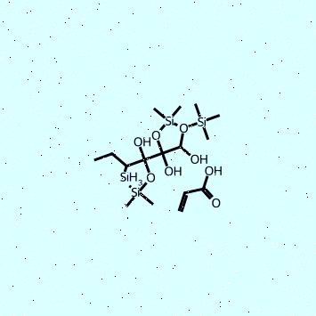 C=CC(=O)O.CCC([SiH3])C(O)(O[Si](C)(C)C)C(O)(O[Si](C)(C)C)C(O)O[Si](C)(C)C